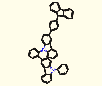 c1ccc(-n2c3ccccc3c3cc(-c4ccccc4-n4c5ccccc5c5cc(-c6ccc(C7c8ccccc8-c8ccccc87)cc6)ccc54)ccc32)cc1